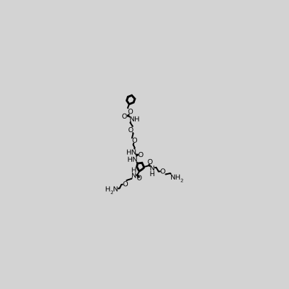 NCCOCCNC(=O)c1cc(NC(=O)NCCOCCOCCNC(=O)OCc2ccccc2)cc(C(=O)NCCOCCN)c1